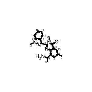 Cc1cc([C@@H](C)N)c2nc(-c3nn(C)c4ccccc34)n(C)c(=O)c2c1